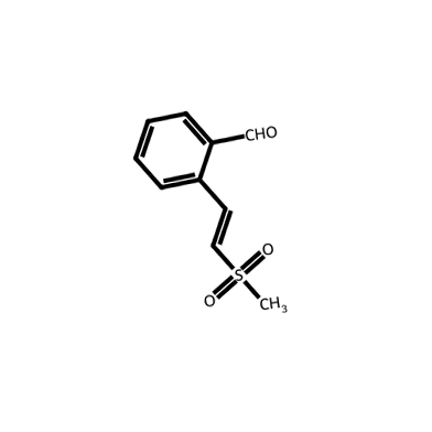 CS(=O)(=O)/C=C/c1ccccc1C=O